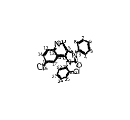 O=c1n(-c2ccccc2)c2cnc3ccc(Cl)cc3c2n1-c1ccccc1Cl